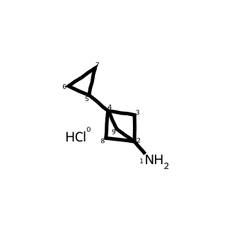 Cl.NC12CC(C3CC3)(C1)C2